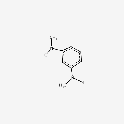 CN(C)c1cccc(N(C)I)c1